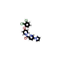 O=C(c1ccc(N2CCCC2)cn1)N1CCC(Oc2cccc(Cl)c2Cl)CC1